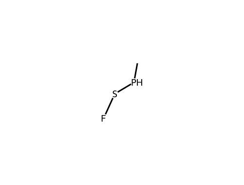 CPSF